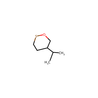 CC(C)C1CCSOC1